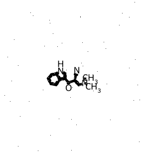 CN(C)C=C(C#N)C(=O)c1c[nH]c2ccccc12